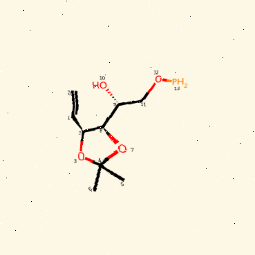 C=C[C@@H]1OC(C)(C)O[C@@H]1[C@H](O)COP